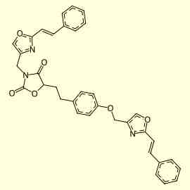 O=C1OC(CCc2ccc(OCc3coc(C=Cc4ccccc4)n3)cc2)C(=O)N1Cc1coc(C=Cc2ccccc2)n1